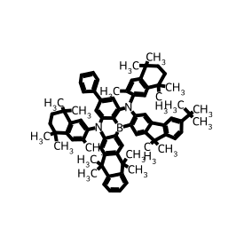 Cc1cc2c(cc1N1c3cc4c(cc3B3c5cc6c(cc5N(c5cc7c(cc5C)C(C)(C)CCC7(C)C)c5cc(-c7ccccc7)cc1c53)C(C)(C)c1ccccc1C6(C)C)C(C)(C)c1ccc(C(C)(C)C)cc1-4)C(C)(C)CCC2(C)C